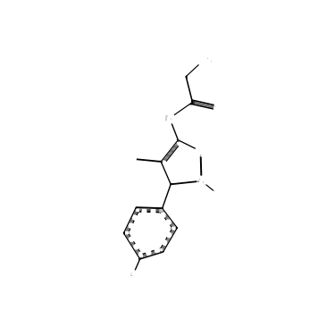 CCN1OC(NC(=O)CC#N)=C(C(=O)O)C1c1ccc(Br)cc1